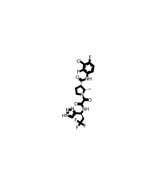 C[C@H]1[C@@H](C(=O)Nc2ccc(F)c(Cl)c2F)CCN1C(=O)C(=O)N[C@@H](CC(F)(F)F)c1c[nH]nn1